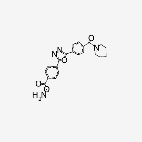 NOC(=O)c1ccc(-c2nnc(-c3ccc(C(=O)N4CCCCC4)cc3)o2)cc1